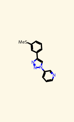 CSc1cccc(-c2cn(-c3cccnc3)nn2)c1